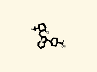 O=C(O)C1CC=C(c2cc(Cc3c(Cl)cccc3C(F)(F)F)n3ccccc23)CC1